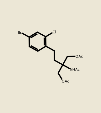 CC(=O)NC(CCc1ccc(Br)cc1Cl)(COC(C)=O)COC(C)=O